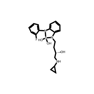 O[C@@H](CCN1c2ccccc2N(c2ccccc2F)S1(O)O)CNC1CC1